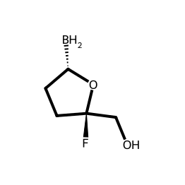 B[C@H]1CC[C@@](F)(CO)O1